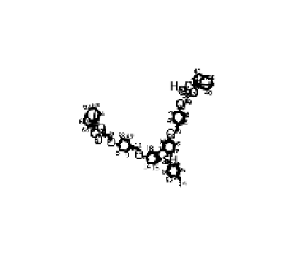 CC1(OC(=O)COc2ccc(COc3ccc4c(c3)-c3cc(OCc5ccc(OCC(=O)OC6(C)C7CC8CC(C7)CC6C8)cc5)ccc3[SH]4c3ccc(I)cc3)cc2)C2CC3CC(C2)CC1C3